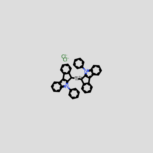 [Cl-].[Cl-].c1ccc(-n2c3c(c4ccccc42)-c2ccccc2[CH]3[Ti+2][CH]2c3ccccc3-c3c2n(-c2ccccc2)c2ccccc32)cc1